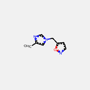 O=Cc1cn(Cc2ccno2)cn1